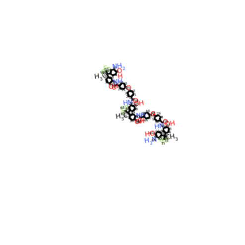 CC(c1ccc(O)c(N)c1)(c1ccc(O)c(NC(=O)c2ccc(Oc3ccc(C(=O)Nc4cc(C(C)(c5ccc(O)c(NC(=O)c6ccc(Oc7ccc(C(=O)Nc8cc(C(C)(c9ccc(O)c(N)c9)C(F)(F)F)ccc8O)cc7)cc6)c5)C(F)(F)F)ccc4O)cc3)cc2)c1)C(F)(F)F